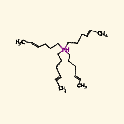 C/C=C/CCC[PH](CCC/C=C/C)(CCC/C=C/C)CCC/C=C/C